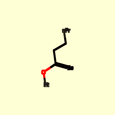 CCCCCC(=[Se])OCC